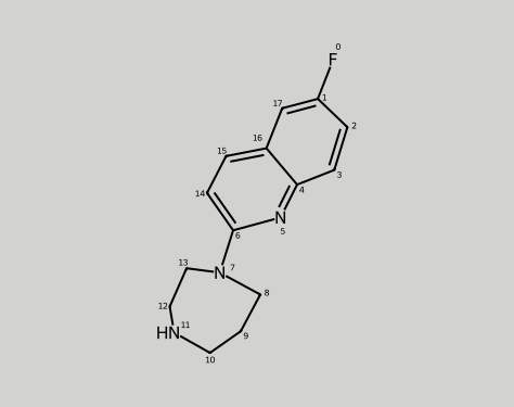 Fc1ccc2nc(N3CCCNCC3)ccc2c1